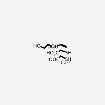 C=CC(=O)[O-].O=C(O)CS.O=C([O-])CS.OCCO.[Ca+2]